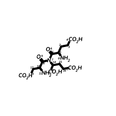 NC(CCC(=O)O)C(=O)N(C(=O)C(N)CC(=O)O)C(CCC(=O)O)C(=O)O